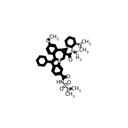 COc1ccc2c(c1)C1CC1(C(=O)N(C)[C@@H]1CCCC[C@H]1N(C)C)Cn1c-2c(C2CCCCC2)c2ccc(C(=O)NS(=O)(=O)N(C)C)cc21